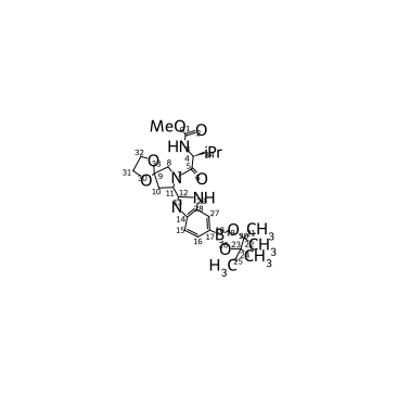 COC(=O)N[C@H](C(=O)N1CC2(CC1c1nc3ccc(B4OC(C)(C)C(C)(C)O4)cc3[nH]1)OCCO2)C(C)C